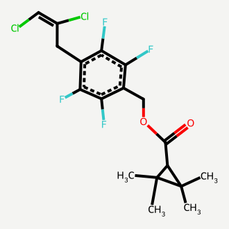 CC1(C)C(C(=O)OCc2c(F)c(F)c(C/C(Cl)=C\Cl)c(F)c2F)C1(C)C